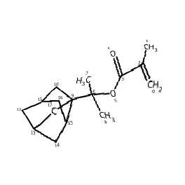 C=C(C)C(=O)OC(C)(C)C12CC3CC(CC1C3)C2